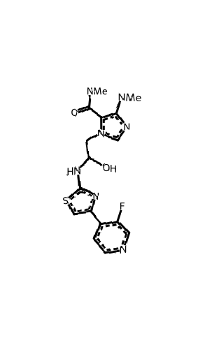 CNC(=O)c1c(NC)ncn1CC(O)Nc1nc(-c2ccncc2F)cs1